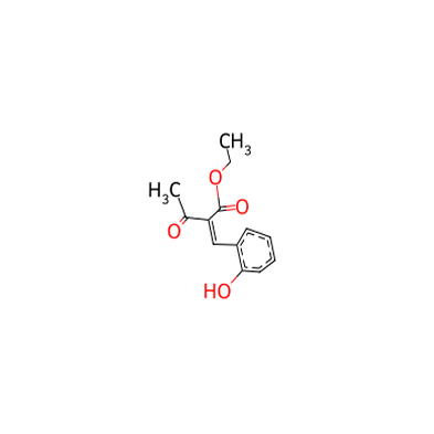 CCOC(=O)C(=Cc1ccccc1O)C(C)=O